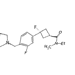 CCN(C)C(=O)[C@H]1C[C@@](F)(c2ccc(CN3CCCC3)c(F)c2)C1